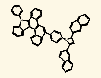 C1=C(c2ccc3ccccc3c2)N(c2ccc(-c3cc4c5ccccc5c5c(c6ccccc6n5-c5ccccc5)c4c4ccccc34)cc2)C1c1ccc2ccccc2c1